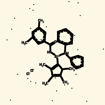 CC1=C(C)C(C)[C]([Zr+2]([NH]C(=O)c2cc(C)cc(C)c2)[SiH](c2ccccc2)c2ccccc2)=C1C.[Cl-].[Cl-]